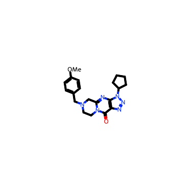 COc1ccc(CN2CCn3c(nc4c(nnn4C4CCCC4)c3=O)C2)cc1